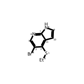 CCSc1c(Br)cnc2[nH]ccc12